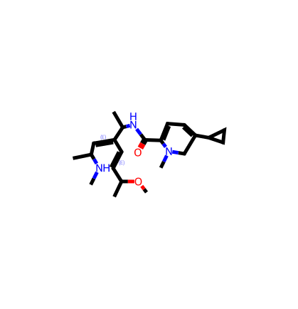 CNC(C)/C=C(\C=C\C(C)OC)C(C)NC(=O)C1=CC=C(C2CC2)CN1C